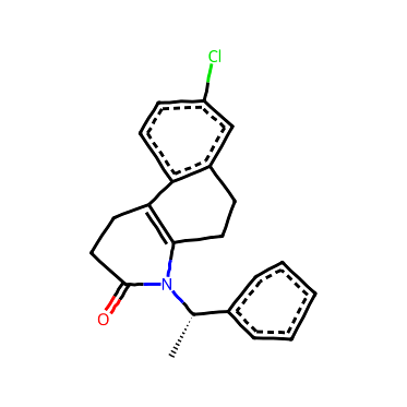 C[C@@H](c1ccccc1)N1C(=O)CCC2=C1CCc1cc(Cl)ccc12